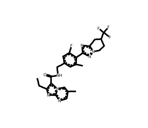 CCc1nc2ncc(C)cn2c1C(=O)NCc1cc(C)c(-c2nc3n(n2)CCC(C(F)(F)F)C3)c(F)c1